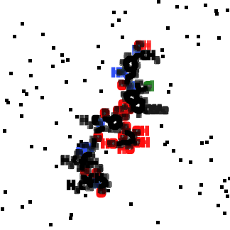 COc1ccc2c(OS(=O)(=O)Oc3cc(C(=O)N(C)CCOCCn4cc(C(C)(C)COCC(C)(C)CN5C(=O)C=CC5=O)nn4)ccc3O[C@@H]3O[C@H](CO)[C@H](O)[C@H](O)[C@H]3O)cc3c(c2c1)[C@H](CCl)CN3C(=O)c1cc2cc(/C(C)=N/O)ccc2[nH]1